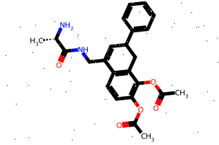 CC(=O)Oc1ccc2c(c1OC(C)=O)CC(c1ccccc1)C=C2CNC(=O)[C@H](C)N